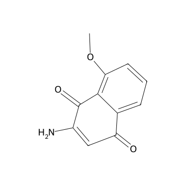 COc1cccc2c1C(=O)C(N)=CC2=O